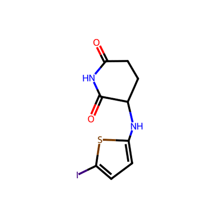 O=C1CCC(Nc2ccc(I)s2)C(=O)N1